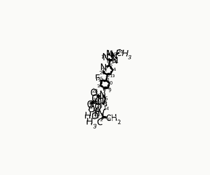 C=C(C)N(C[C@H]1CN(c2ccc(-c3ccc(-c4nnn(C)n4)nc3)c(F)c2)C(=O)O1)P(=O)(O)OC(C)=O